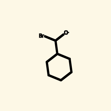 [O]C(Br)C1CCCCC1